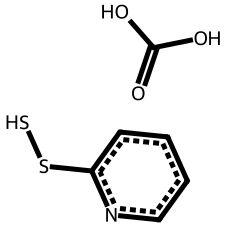 O=C(O)O.SSc1ccccn1